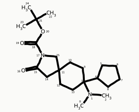 CN(C)C1(C2CCCC2)CCC2(CC1)CC(=O)N(C(=O)OC(C)(C)C)C2